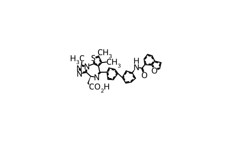 Cc1sc2c(c1C)C(c1ccc(-c3cccc(NC(=O)c4cccc5ccoc45)c3)cc1)=N[C@@H](CC(=O)O)c1nnc(C)n1-2